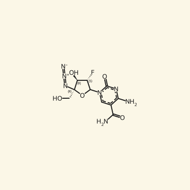 [N-]=[N+]=N[C@]1(CO)OC(n2cc(C(N)=O)c(N)nc2=O)[C@@H](F)[C@@H]1O